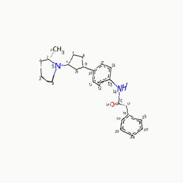 C[C@H]1CCCN1C1CCC(c2ccc(NC(=O)Cc3ccccc3)cc2)C1